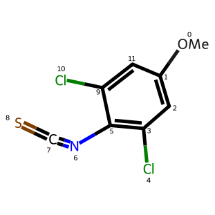 COc1cc(Cl)c(N=C=S)c(Cl)c1